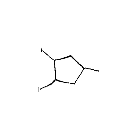 CC1CC(I)C(I)C1